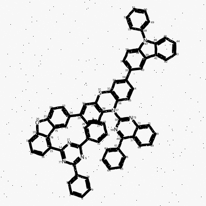 c1ccc(-c2nc(-c3ccccc3)nc(-c3cccc4oc5ccc(-c6ccc7c(c6)Sc6cc(-c8ccc9c(c8)c8ccccc8n9-c8ccccc8)ccc6N7c6nc(-c7ccccc7)c7ccccc7n6)cc5c34)n2)cc1